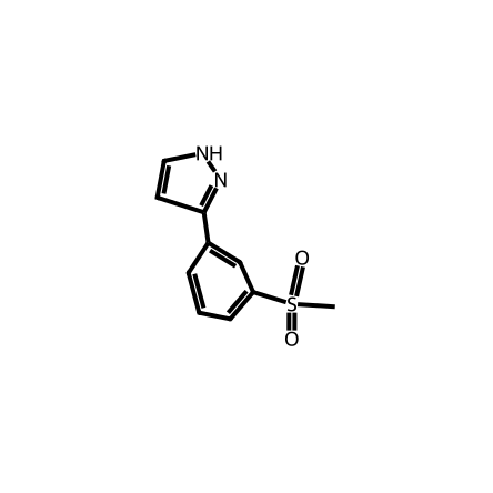 CS(=O)(=O)c1cccc(-c2cc[nH]n2)c1